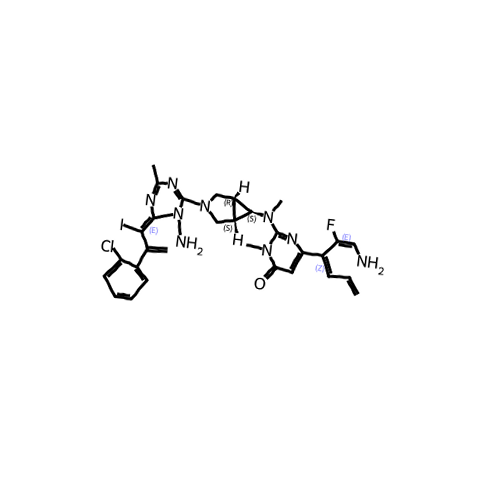 C=C/C=C(\C(F)=C/N)c1cc(=O)n(C)c(N(C)[C@H]2[C@@H]3CN(C4=NC(C)=N/C(=C(\I)C(=C)c5ccccc5Cl)N4N)C[C@@H]32)n1